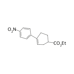 CCOC(=O)C1CC=C(c2ccc([N+](=O)[O-])cc2)CC1